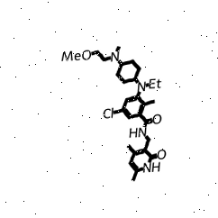 CCN(c1cc(Cl)cc(C(=O)NCc2c(C)cc(C)[nH]c2=O)c1C)C1CCC(N(C)CCOC)CC1